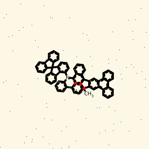 CC1(C)c2cc3c4ccccc4c4ccccc4c3cc2-c2c1cc(N(c1ccccc1-c1ccccc1)c1cccc3c1-c1ccccc1C31c3ccccc3-c3ccccc31)c1ccccc21